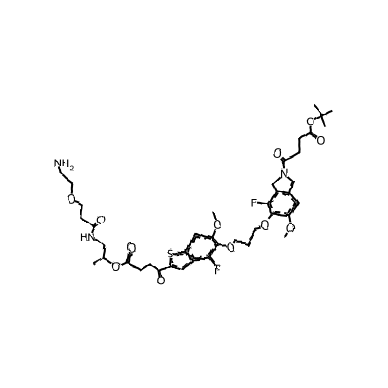 COc1cc2c(c(F)c1OCCCOc1c(OC)cc3sc(C(=O)CCC(=O)O[C@@H](C)CNC(=O)CCOCCN)cc3c1F)CN(C(=O)CCC(=O)OC(C)(C)C)C2